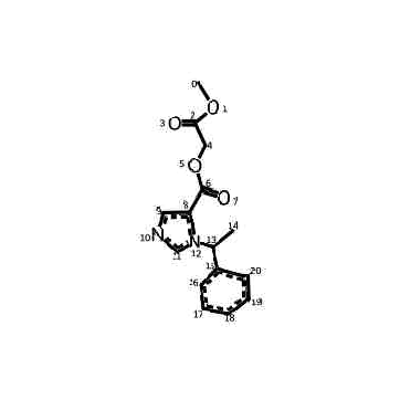 COC(=O)COC(=O)c1cncn1C(C)c1ccccc1